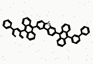 C=C/C(=C\C(=C/C)c1ccccc1)c1c2ccccc2c(-c2ccc3sc4cc(-c5c6ccccc6c(-c6cccc(-c7ccccc7)c6)c6ccccc56)ccc4c3c2)c2ccccc12